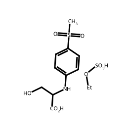 CCOS(=O)(=O)O.CS(=O)(=O)c1ccc(NC(CO)C(=O)O)cc1